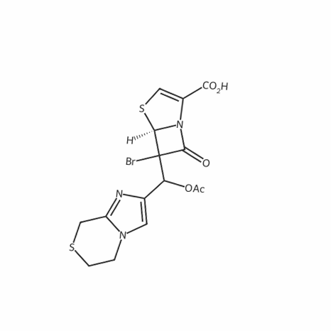 CC(=O)OC(c1cn2c(n1)CSCC2)C1(Br)C(=O)N2C(C(=O)O)=CS[C@@H]21